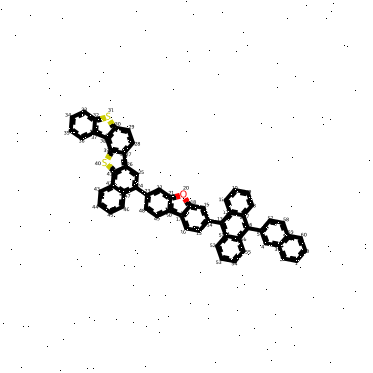 c1ccc2cc(-c3c4ccccc4c(-c4ccc5c(c4)oc4cc(-c6cc7c8ccc9sc%10ccccc%10c9c8sc7c7ccccc67)ccc45)c4ccccc34)ccc2c1